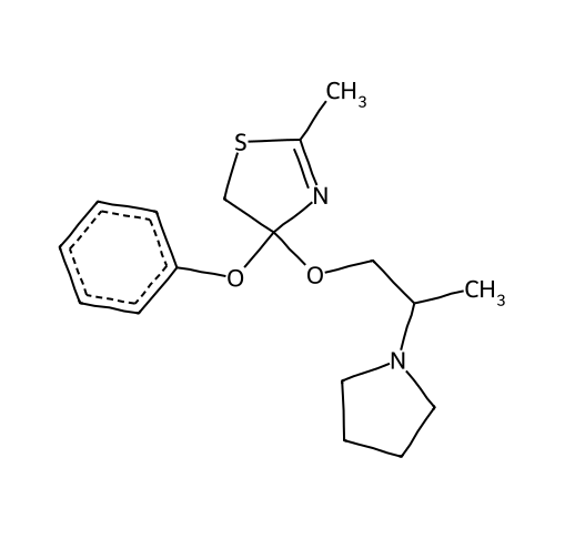 CC1=NC(OCC(C)N2CCCC2)(Oc2ccccc2)CS1